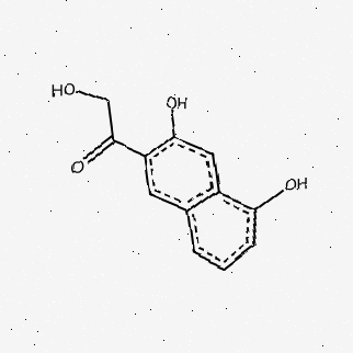 O=C(CO)c1cc2cccc(O)c2cc1O